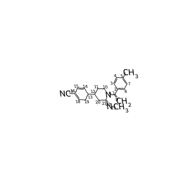 C=C(c1ccc(C)cc1)N1CCC(C2C=CC(C#N)=CC2)C/C1=N/C